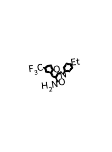 CCc1ccc(/N=c2\oc3ccc(C(F)(F)F)cc3cc2C(N)=O)cc1